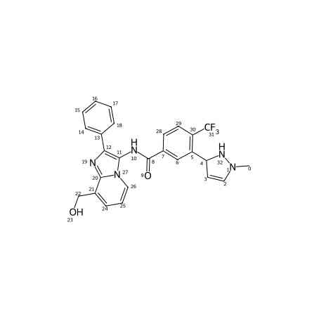 CN1C=CC(c2cc(C(=O)Nc3c(-c4ccccc4)nc4c(CO)cccn34)ccc2C(F)(F)F)N1